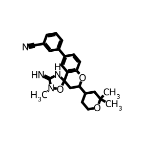 CN1OC2(CC(C3CCOC(C)(C)C3)Oc3ccc(-c4cccc(C#N)c4)cc32)NC1=N